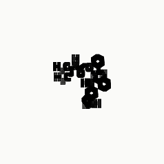 CCC(C)NC(=O)COc1ccccc1-c1nc(Nc2ccc3[nH]ncc3c2)c2ccccc2n1